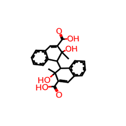 CC1(O)C(C(=O)O)=Cc2ccccc2C1C1c2ccccc2C=C(C(=O)O)C1(C)O